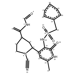 C=C(NC=O)C1CCN(C#N)C(c2cc(C)[nH]c(=O)c2NS(=O)(=O)Cc2ccccc2)C1